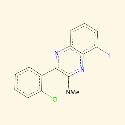 CNc1nc2c(I)cccc2nc1-c1ccccc1Cl